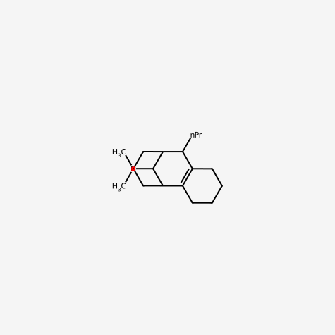 CCCC1C2=C(CCCC2)C2CCCC1C2N(C)C